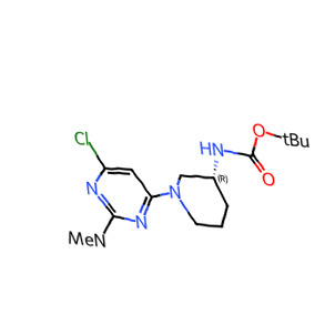 CNc1nc(Cl)cc(N2CCC[C@@H](NC(=O)OC(C)(C)C)C2)n1